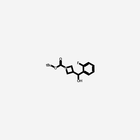 CC(C)(C)OC(=O)N1CC(C(O)c2ccccc2F)C1